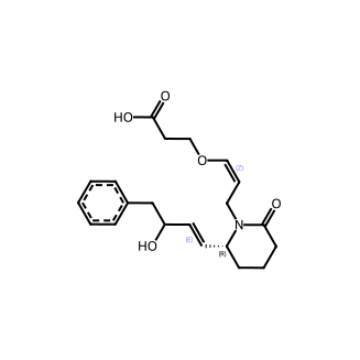 O=C(O)CCO/C=C\CN1C(=O)CCC[C@@H]1/C=C/C(O)Cc1ccccc1